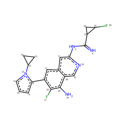 N=C(Nc1cc2cc(-c3cccn3C3CC3)c(F)c(N)c2cn1)C1CC1F